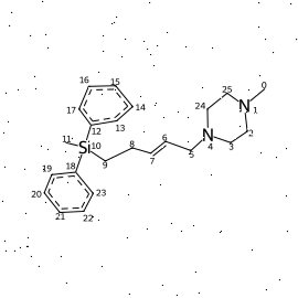 CN1CCN(CC=CCC[Si](C)(c2ccccc2)c2ccccc2)CC1